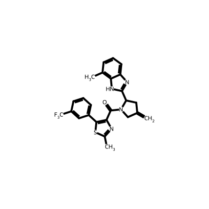 C=C1CC(c2nc3cccc(C)c3[nH]2)N(C(=O)c2nc(C)sc2-c2cccc(C(F)(F)F)c2)C1